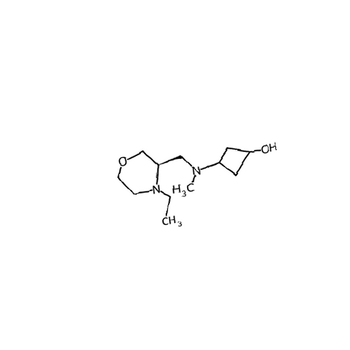 CCN1CCOC[C@H]1CN(C)C1CC(O)C1